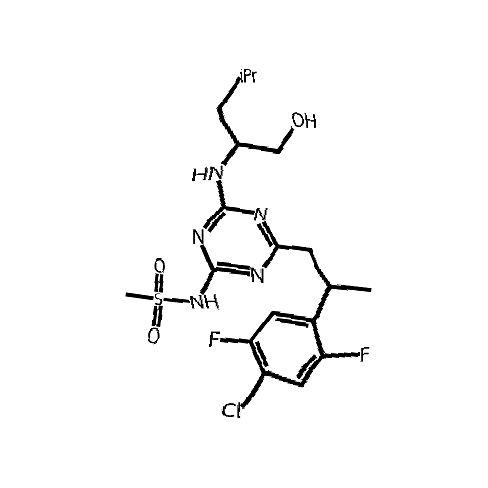 CC(C)CC(CO)Nc1nc(CC(C)c2cc(F)c(Cl)cc2F)nc(NS(C)(=O)=O)n1